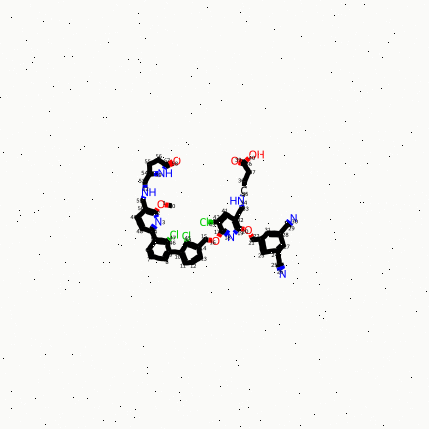 COc1nc(-c2cccc(-c3cccc(COc4nc(OCc5cc(C#N)cc(C#N)c5)c(CNCCCC(=O)O)cc4Cl)c3Cl)c2Cl)ccc1CNCC1CCC(=O)N1